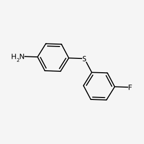 Nc1ccc(Sc2cccc(F)c2)cc1